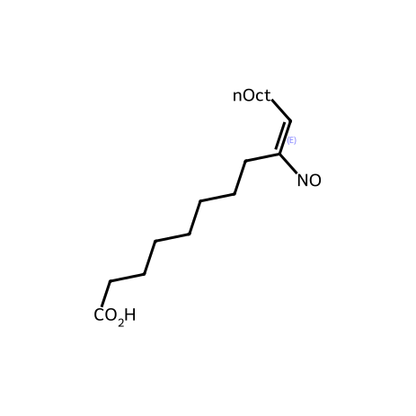 CCCCCCCC/C=C(\CCCCCCCC(=O)O)N=O